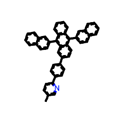 Cc1ccc(-c2ccc(-c3ccc4c(-c5ccc6ccccc6c5)c5ccccc5c(-c5ccc6ccccc6c5)c4c3)cc2)nc1